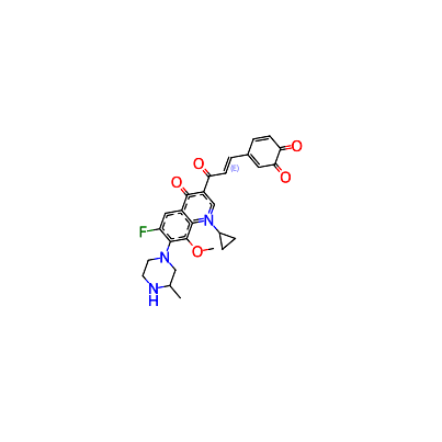 COc1c(N2CCNC(C)C2)c(F)cc2c(=O)c(C(=O)/C=C/C3=CC(=O)C(=O)C=C3)cn(C3CC3)c12